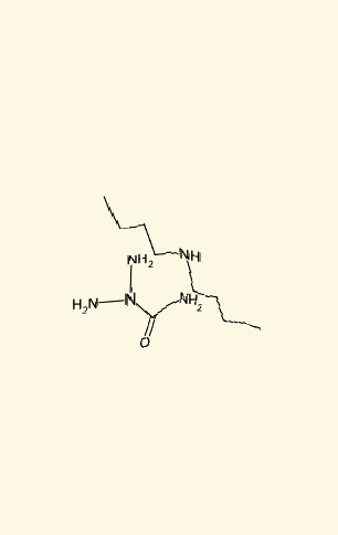 CCCCNCCCC.NC(=O)N(N)N